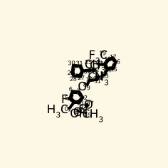 CC(O)c1c(F)cc(OCCCN(Cc2cccc(C(F)(F)F)c2Cl)CC(C)(C)c2ccccc2)cc1S(C)(=O)=O